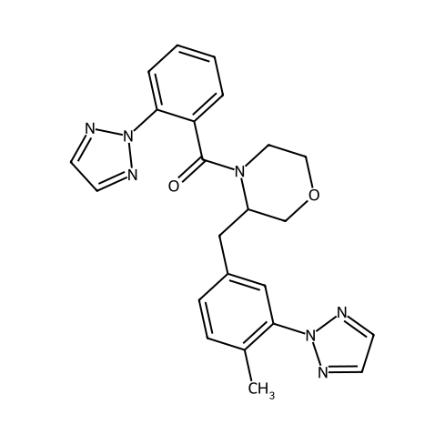 Cc1ccc(CC2COCCN2C(=O)c2ccccc2-n2nccn2)cc1-n1nccn1